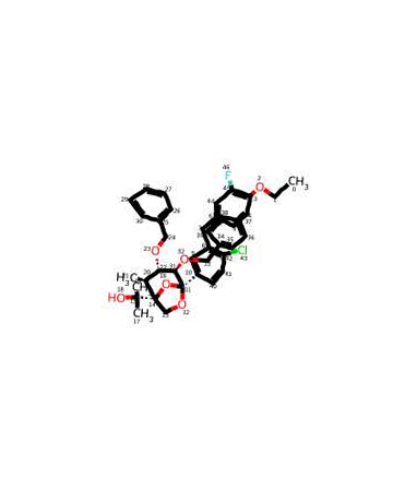 CCOc1ccc(Cc2cc([C@]34OC[C@](C(C)(C)O)(O3)[C@@H](C)[C@H](OCc3ccccc3)[C@H]4OCc3ccccc3)ccc2Cl)cc1F